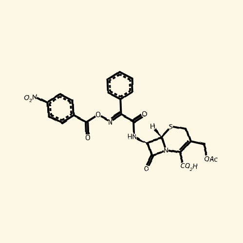 CC(=O)OCC1=C(C(=O)O)N2C(=O)[C@@H](NC(=O)C(=NOC(=O)c3ccc([N+](=O)[O-])cc3)c3ccccc3)[C@@H]2SC1